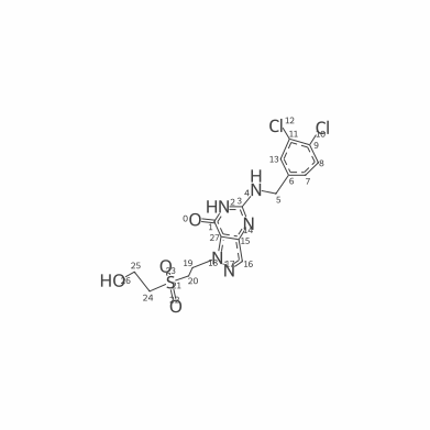 O=c1[nH]c(NCc2ccc(Cl)c(Cl)c2)nc2cnn(CCS(=O)(=O)CCO)c12